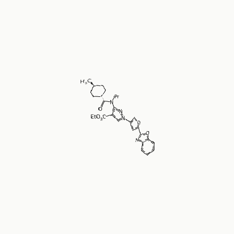 CCOC(=O)c1cn(-c2coc(-c3nc4ccccc4o3)c2)nc1N(C(=O)[C@H]1CC[C@H](C)CC1)C(C)C